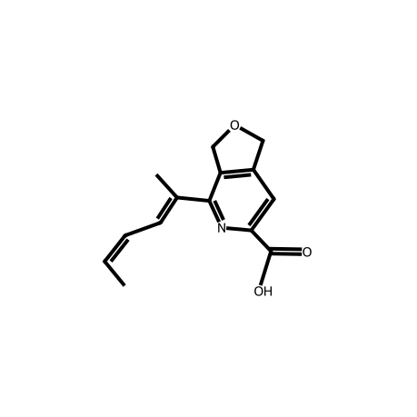 C/C=C\C=C(/C)c1nc(C(=O)O)cc2c1COC2